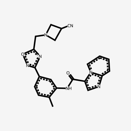 Cc1ccc(-c2noc(CN3CC(C#N)C3)n2)cc1NC(=O)c1cnc2ccccn12